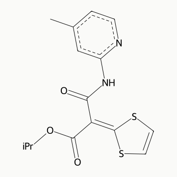 Cc1ccnc(NC(=O)C(C(=O)OC(C)C)=C2SC=CS2)c1